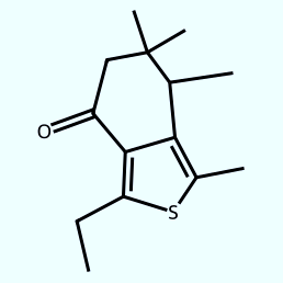 CCc1sc(C)c2c1C(=O)CC(C)(C)C2C